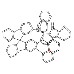 c1ccc(-c2cc3c(cc2N(c2ccccc2)c2ccccc2)C2(c4ccccc4-c4ccc(N(c5ccccc5)c5cccc6c5[nH]c5ccccc56)cc42)c2ccccc2-3)cc1